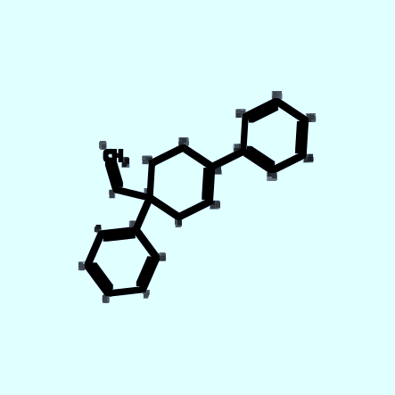 C=CC1(c2ccccc2)CC=C(c2ccccc2)CC1